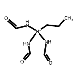 CCC[N+](NC=O)(NC=O)NC=O